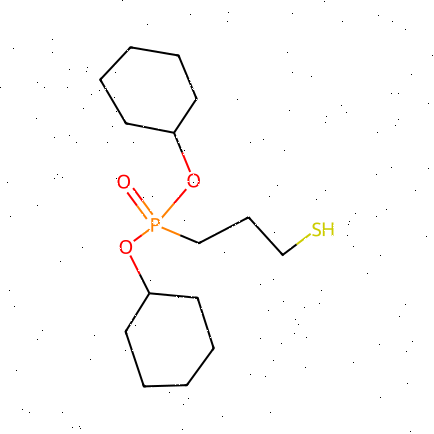 O=P(CCCS)(OC1CCCCC1)OC1CCCCC1